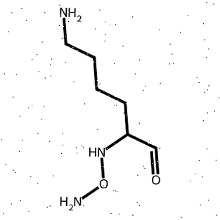 NCCCCC([C]=O)NON